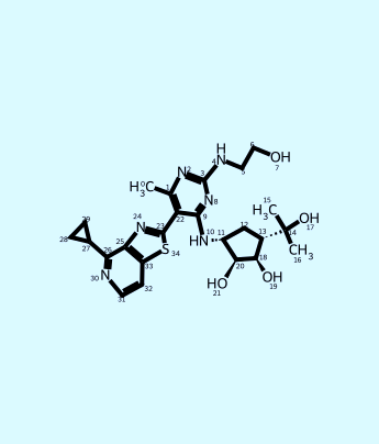 Cc1nc(NCCO)nc(N[C@@H]2C[C@H](C(C)(C)O)[C@@H](O)[C@H]2O)c1-c1nc2c(C3CC3)nccc2s1